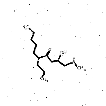 CCCCCC(CCC)C(=O)CC(O)CNC